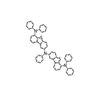 c1ccc(N(c2ccc3sc4c(N(c5ccccc5)c5ccccc5)cccc4c3c2)c2ccc3sc4c(N(c5ccccc5)c5ccccc5)cccc4c3c2)cc1